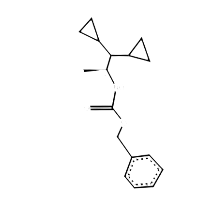 C[C@H](NC(=O)OCc1ccccc1)C(C1CC1)C1CC1